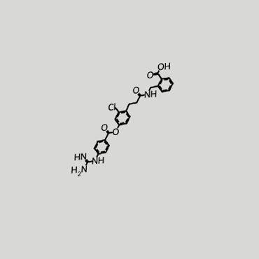 N=C(N)Nc1ccc(C(=O)Oc2ccc(CCC(=O)NCc3ccccc3C(=O)O)c(Cl)c2)cc1